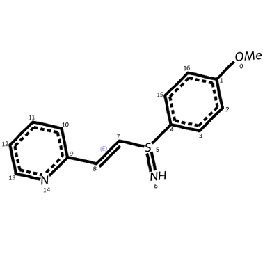 COc1ccc(S(=N)/C=C/c2ccccn2)cc1